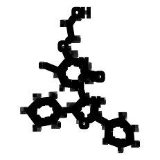 Cc1cn(-c2nc(-c3ccccc3)oc2-c2ccccc2)c(=O)nc1OCCO